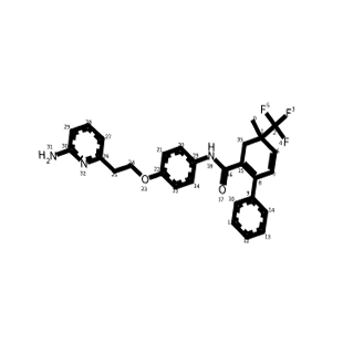 CC1(C(F)(F)F)C=CC(c2ccccc2)=C(C(=O)Nc2ccc(OCCc3cccc(N)n3)cc2)C1